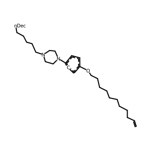 C=CCCCCCCCCCOc1ccc(N2CCN(CCCCCCCCCCCCCCC)CC2)cc1